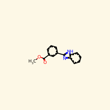 COC(=O)c1cccc(-c2nc3ccccc3[nH]2)c1